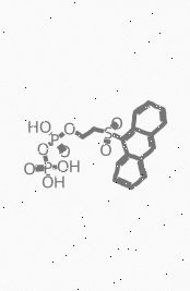 O=P(O)(O)OP(=O)(O)OCCS(=O)(=O)c1c2ccccc2cc2ccccc12